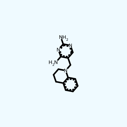 Nc1ncc(CN2CCCc3ccccc32)c(N)n1